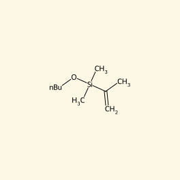 C=C(C)[Si](C)(C)OCCCC